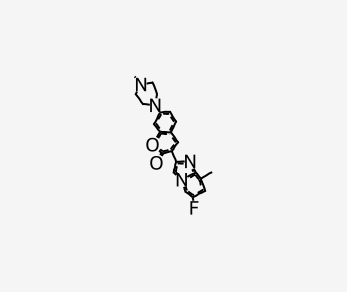 Cc1cc(F)cn2cc(-c3cc4ccc(N5CCN(C)CC5)cc4oc3=O)nc12